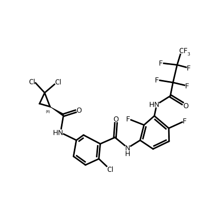 O=C(Nc1ccc(F)c(NC(=O)C(F)(F)C(F)(F)C(F)(F)F)c1F)c1cc(NC(=O)[C@H]2CC2(Cl)Cl)ccc1Cl